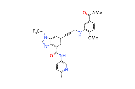 CNC(=O)c1ccc(OC)c(NCC#Cc2cc(C(=O)Nc3ccc(C)nc3)c3ncn(CC(F)(F)F)c3c2)c1